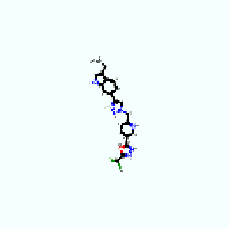 CNCc1c[nH]c2cc(-c3cn(Cc4ccc(-c5nnc(C(F)F)o5)cn4)nn3)ccc12